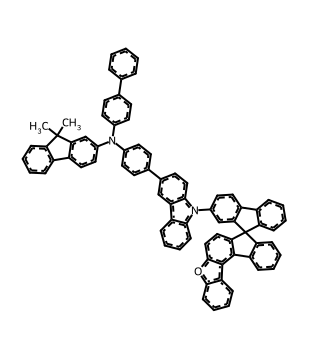 CC1(C)c2ccccc2-c2ccc(N(c3ccc(-c4ccccc4)cc3)c3ccc(-c4ccc5c(c4)c4ccccc4n5-c4ccc5c(c4)C4(c6ccccc6-5)c5ccccc5-c5c4ccc4oc6ccccc6c54)cc3)cc21